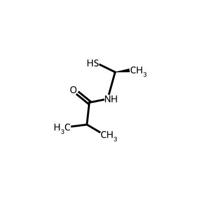 CC(C)C(=O)N[C@H](C)S